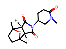 CN1CC(N2C(=O)[C@@H]3[C@H](C2=O)C2(C)CCC3(C)O2)CCC1=O